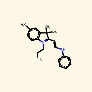 CCC[N+]1=C(/C=C/Nc2ccccc2)C(C)(C)c2cc(C)ccc21